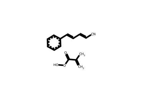 C=C(C)C(=O)OO.N#CC=CC=Cc1ccccc1